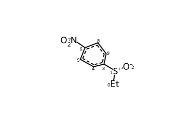 [CH2]C[S+]([O-])c1ccc([N+](=O)[O-])cc1